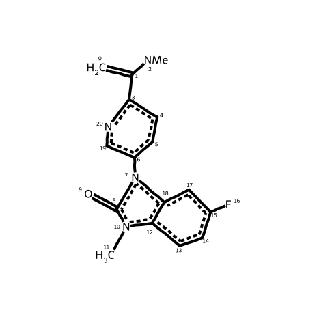 C=C(NC)c1ccc(-n2c(=O)n(C)c3ccc(F)cc32)cn1